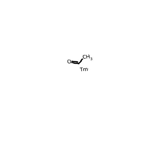 CC=O.[Tm]